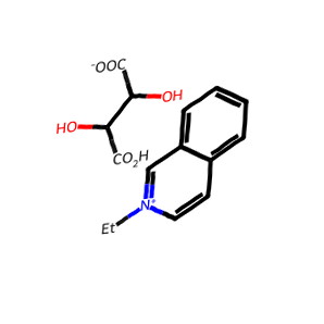 CC[n+]1ccc2ccccc2c1.O=C([O-])C(O)C(O)C(=O)O